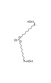 CCCCCCCC/C=C\CCCCCCCCO[C](CC)OCCCCCCCC/C=C\CCCCCCCC